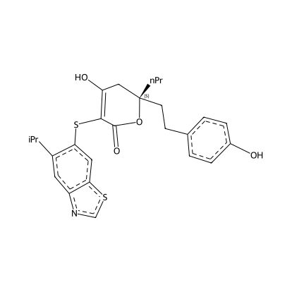 CCC[C@]1(CCc2ccc(O)cc2)CC(O)=C(Sc2cc3scnc3cc2C(C)C)C(=O)O1